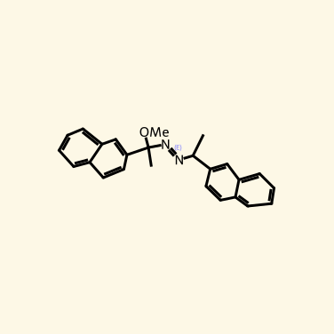 COC(C)(/N=N/C(C)c1ccc2ccccc2c1)c1ccc2ccccc2c1